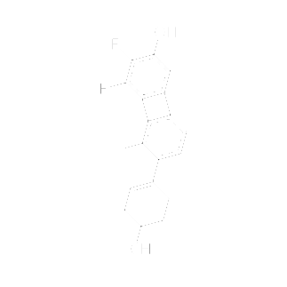 CC1CC=C(c2ccc3c(c2F)-c2c-3cc(O)c(F)c2F)CC1